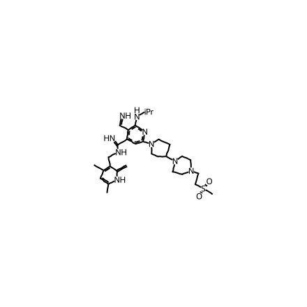 C=C1NC(C)=CC(C)=C1CNC(=N)c1cc(N2CCC(N3CCN(CCS(C)(=O)=O)CC3)CC2)nc(NC(C)C)c1C=N